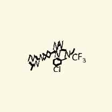 Cc1cncc(N2CC3(CC(c4nnc5n4-c4ccc(Cl)cc4CN(C(C)C(F)(F)F)C5)C3)C2)n1